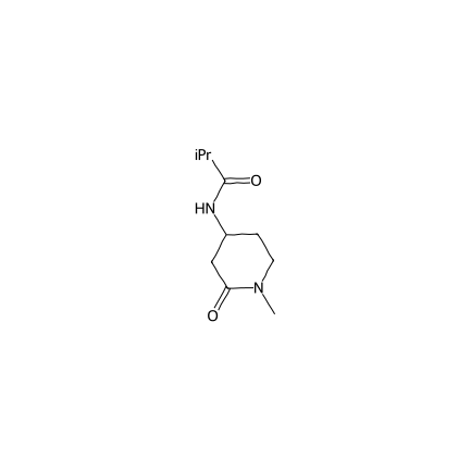 CC(C)C(=O)NC1CCN(C)C(=O)C1